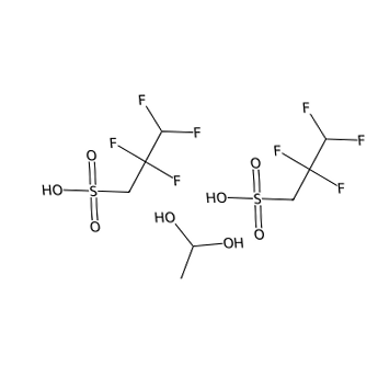 CC(O)O.O=S(=O)(O)CC(F)(F)C(F)F.O=S(=O)(O)CC(F)(F)C(F)F